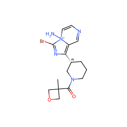 CC1(C(=O)N2CCC[C@@H](C3=C4C=NC=C[N+]4(N)C(Br)=N3)C2)COC1